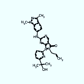 C=CCn1c(=O)c2cnc(Nc3ccc4c(C)nn(C)c4c3)nc2n1-c1cccc(C(C)(C)O)n1